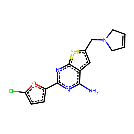 Nc1nc(-c2ccc(Cl)o2)nc2sc(CN3CC=CC3)cc12